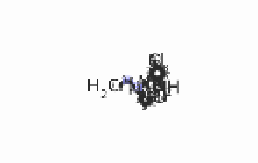 C=C/C=C\N=C(/N)n1cccc1S(=O)(=O)Nc1ccc(Cl)cc1